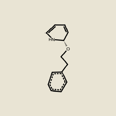 [C]1=CC=C[C@H](OCCc2ccccc2)N1